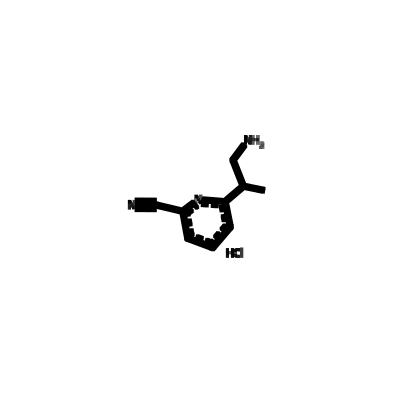 CC(CN)c1cccc(C#N)n1.Cl